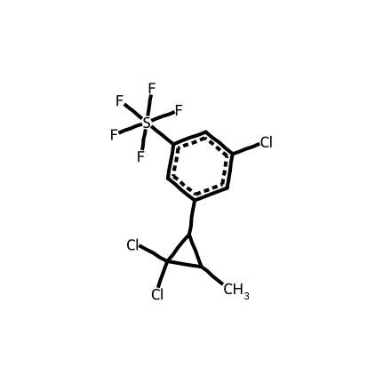 CC1C(c2cc(Cl)cc(S(F)(F)(F)(F)F)c2)C1(Cl)Cl